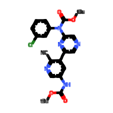 CC(C)(C)OC(=O)Nc1cnc(C#N)c(-c2cncc(N(C(=O)OC(C)(C)C)c3cccc(Cl)c3)n2)c1